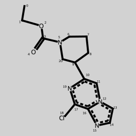 CCOC(=O)N1CCCC(c2cn3ccnc3c(Cl)n2)C1